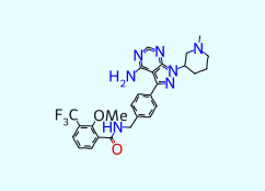 COc1c(C(=O)NCc2ccc(-c3nn(C4CCCN(C)C4)c4ncnc(N)c34)cc2)cccc1C(F)(F)F